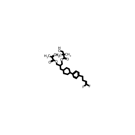 C=C(C)C(=O)OCC(COC(=O)C(C)(C)CO)CC1CCC(c2ccc(CCC=C(F)F)cc2)CC1